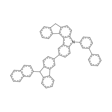 c1ccc(-c2cccc(-n3c4ccc(-c5ccc6c(c5)-c5ccccc5C6c5ccc6ccccc6c5)cc4c4c5c(ccc43)Cc3ccccc3-5)c2)cc1